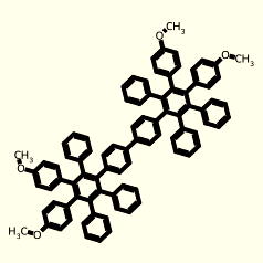 COc1ccc(-c2c(-c3ccccc3)c(-c3ccccc3)c(-c3ccc(-c4ccc(-c5c(-c6ccccc6)c(-c6ccccc6)c(-c6ccc(OC)cc6)c(-c6ccc(OC)cc6)c5-c5ccccc5)cc4)cc3)c(-c3ccccc3)c2-c2ccc(OC)cc2)cc1